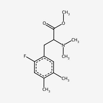 COC(=O)C(Cc1cc(C)c(C)cc1F)N(C)C